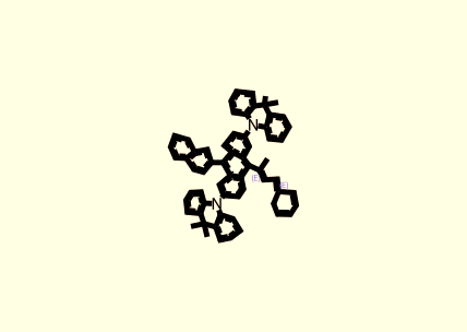 C/C(=C\C=C1\C=CC=CC1)c1c2cc(N3c4ccccc4C(C)(C)c4ccccc43)ccc2c(-c2ccc3ccccc3c2)c2cc(N3c4ccccc4C(C)(C)c4ccccc43)ccc12